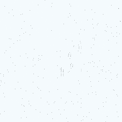 CN1c2ccccc2NN1I